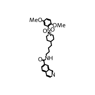 COc1ccc(OC)c(S(=O)(=O)N2CCC(CCCCNC(=O)c3ccc4ccncc4c3)CC2)c1